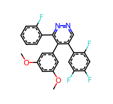 COc1cc(OC)cc(-c2c(-c3cc(F)c(F)cc3F)cnnc2-c2ccccc2F)c1